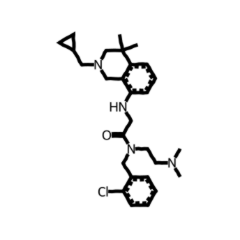 CN(C)CCN(Cc1ccccc1Cl)C(=O)CNc1cccc2c1CN(CC1CC1)CC2(C)C